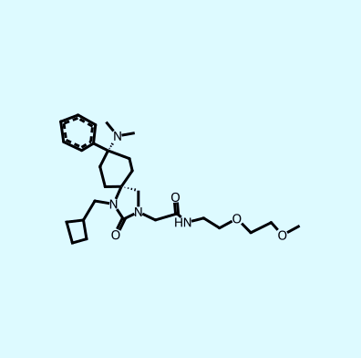 COCCOCCNC(=O)CN1C[C@]2(CC[C@@](c3ccccc3)(N(C)C)CC2)N(CC2CCC2)C1=O